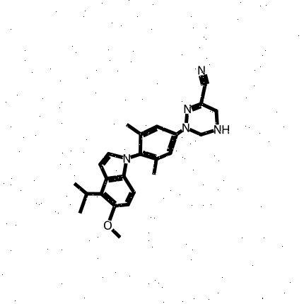 COc1ccc2c(ccn2-c2c(C)cc(N3CNCC(C#N)=N3)cc2C)c1C(C)C